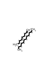 C=CCCCCCCC.CCCCCCCCCCCC